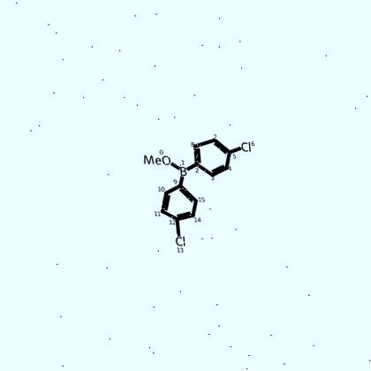 COB(c1ccc(Cl)cc1)c1ccc(Cl)cc1